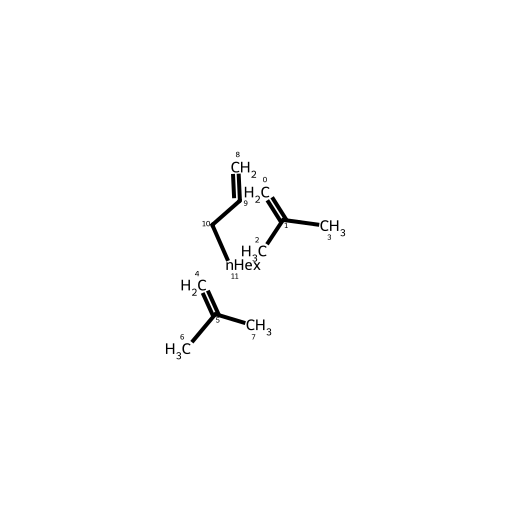 C=C(C)C.C=C(C)C.C=CCCCCCCC